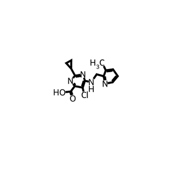 Cc1cccnc1CNc1nc(C2CC2)nc(C(=O)O)c1Cl